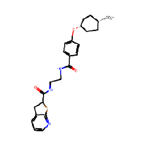 O=C(NCCNC(=O)C1Cc2cccnc2S1)c1ccc(O[C@H]2CC[C@@H](C(=O)O)CC2)cc1